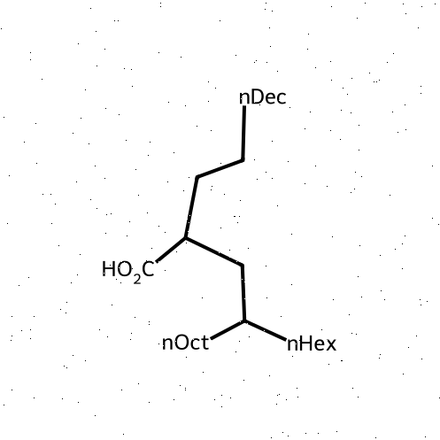 CCCCCCCCCCCCC(CC(CCCCCC)CCCCCCCC)C(=O)O